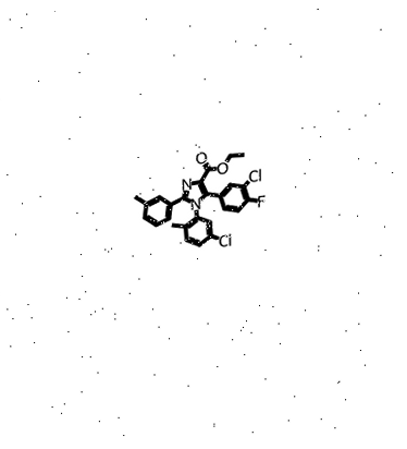 CCOC(=O)c1nc(-c2cccc(C)c2)n(-c2cc(Cl)ccc2C)c1-c1ccc(F)c(Cl)c1